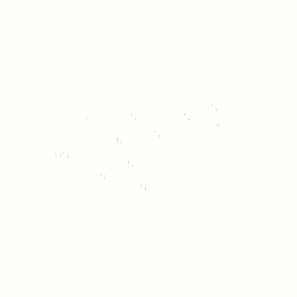 CC(C)(C)OC(=O)NC1CCN(c2cccnc2NC(=O)c2nc(-c3csc(N4CCOCC4)n3)cnc2N)CC1